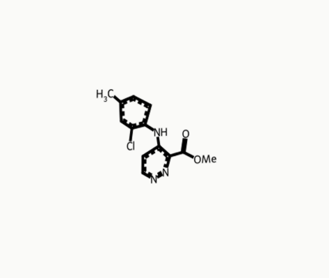 COC(=O)c1nnccc1Nc1ccc(C)cc1Cl